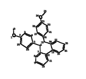 COc1ccc(Cc2ccccc2-c2ccccc2Cc2ccc(OC)cc2)cc1